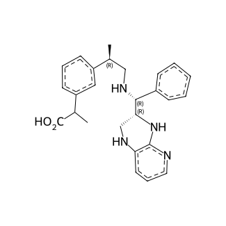 CC(C(=O)O)c1cccc([C@@H](C)CN[C@H](c2ccccc2)[C@H]2CNc3cccnc3N2)c1